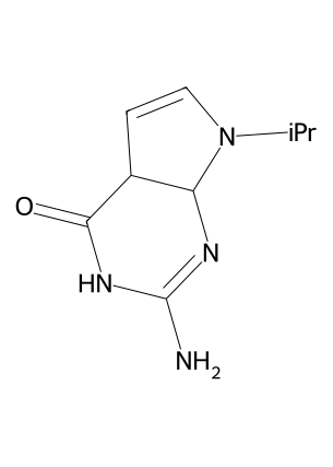 CC(C)N1C=CC2C(=O)NC(N)=NC21